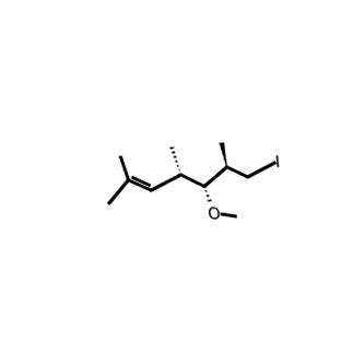 CO[C@H]([C@@H](C)C=C(C)C)[C@@H](C)CI